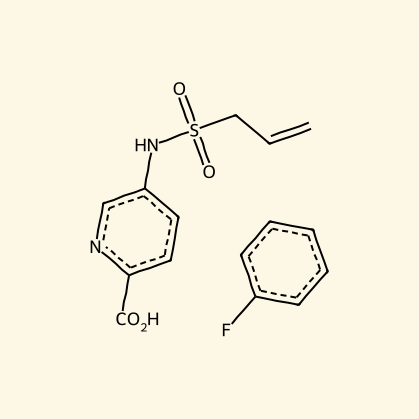 C=CCS(=O)(=O)Nc1ccc(C(=O)O)nc1.Fc1ccccc1